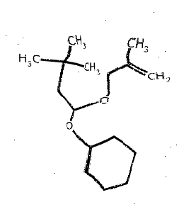 C=C(C)COC(CC(C)(C)C)OC1CCCCC1